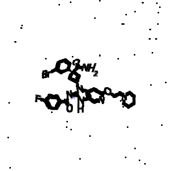 NC(=O)[C@]1(C2C=CC=C(Br)C2)C[C@H](n2/c(=N/C(=O)c3ccc(F)cc3)[nH]c3cnc(OCCN4CCCCC4)cc32)C1